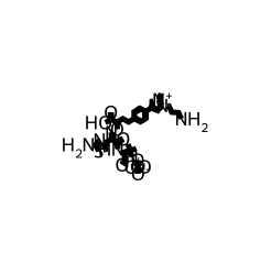 C[n+]1cc(-c2ccc(CCC(O/N=C(\C(=O)N[C@@H]3C(=O)N(OS(=O)(=O)[O-])C3(C)C)c3csc(N)n3)C(=O)O)cc2)cn1CCCN